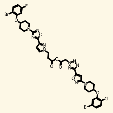 O=C(CCn1ccc(-c2nc(N3CCC(Oc4cc(F)ccc4Br)CC3)no2)n1)OC(=O)Cn1nnc(-c2cc(N3CCC(Oc4cc(Br)ccc4Cl)CC3)no2)n1